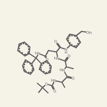 CC(NC(=O)OC(C)(C)C)C(=O)NC(C)C(=O)NC(CC(=O)NC(c1ccccc1)(c1ccccc1)c1ccccc1)C(=O)Nc1ccc(CO)cc1